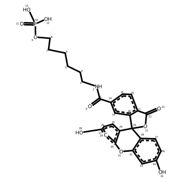 O=C(NCCCCCCOP(=O)(O)O)c1ccc2c(c1)C1(OC2=O)c2ccc(O)cc2Oc2cc(O)ccc21